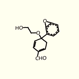 O=CC1=CCC(OCCO)(c2cccc3c2O3)C=C1